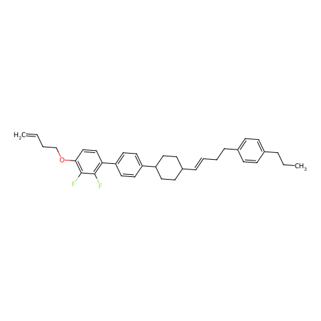 C=CCCOc1ccc(-c2ccc(C3CCC(/C=C/CCc4ccc(CCC)cc4)CC3)cc2)c(F)c1F